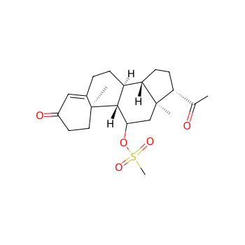 CC(=O)[C@H]1CC[C@H]2[C@@H]3CCC4=CC(=O)CC[C@]4(C)[C@H]3C(OS(C)(=O)=O)C[C@]12C